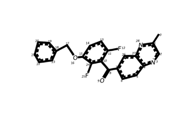 Cc1cnc2ccc(C(=O)c3c(F)ccc(OCc4ccccc4)c3F)cc2n1